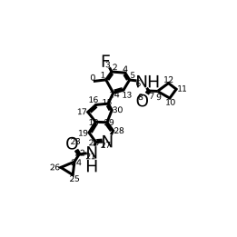 Cc1c(F)cc(NC(=O)C2CCC2)cc1-c1ccc2cc(NC(=O)C3CC3)ncc2c1